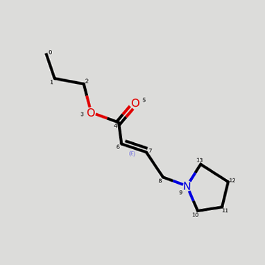 CCCOC(=O)/C=C/CN1CCCC1